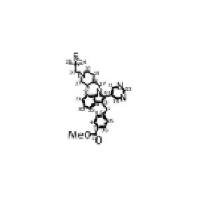 COC(=O)c1ccc(Cc2c(-c3cncnc3)n(CC3CCN(CC(C)(C)F)CC3)c3ccccc23)cc1